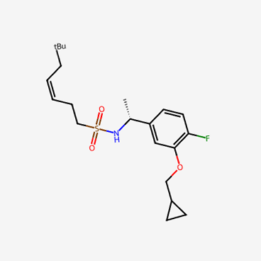 C[C@@H](NS(=O)(=O)CC/C=C\CC(C)(C)C)c1ccc(F)c(OCC2CC2)c1